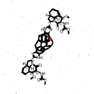 COC(=O)N[C@@H]1C(=O)N2[C@H](c3nc4cc(-c5cc6ccc5CCc5ccc(c(-c7ccc8[nH]c([C@@H]9C[C@@H]%10CCCC%11[C@@H](OC)[C@H](NC(=O)OC)C(=O)N9[C@@H]%11%10)nc8c7)c5)CC6)ccc4[nH]3)C[C@@H]3CCCC([C@H]1OC)[C@@H]32